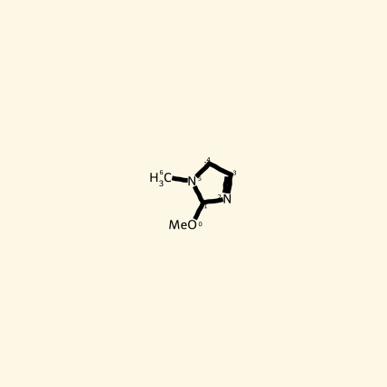 COC1N=C[C]N1C